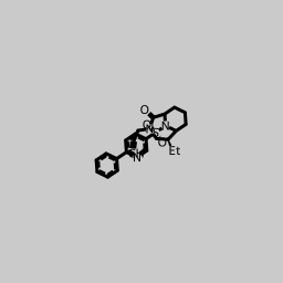 C#CCN1C[C@H](CC)C2CCCC(C1=O)N2S(=O)(=O)c1ccc(-c2ccccc2)nc1